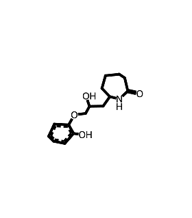 O=C1CCCCC(CC(O)COc2ccccc2O)N1